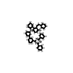 C1=Cc2c(ccc3c2c2ccccc2n3-c2cccc(-c3cccc(-c4nc(-c5ccccc5)nc(-c5ccccc5)n4)c3)c2)Sc2ccccc21